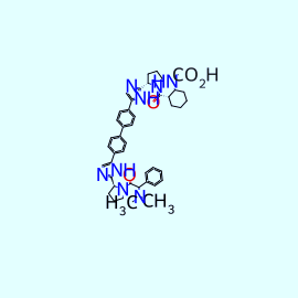 CN(C)[C@@H](C(=O)N1CCC[C@H]1c1ncc(-c2ccc(-c3ccc(-c4cnc([C@@H]5CCCN5C(=O)[C@H]5CCCC[C@H]5NC(=O)O)[nH]4)cc3)cc2)[nH]1)c1ccccc1